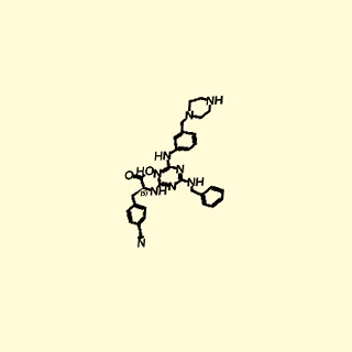 N#Cc1ccc(C[C@H](Nc2nc(NCc3ccccc3)nc(Nc3cccc(CN4CCNCC4)c3)n2)C(=O)O)cc1